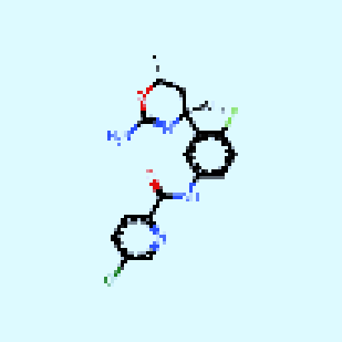 C[C@@H]1C[C@@](c2cc(NC(=O)c3ccc(Cl)cn3)ccc2F)(C(F)(F)F)N=C(N)O1